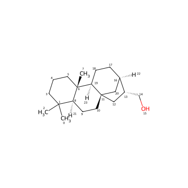 CC1(C)CCC[C@@]2(C)[C@H]1CC[C@@]13C[C@@H](CO)[C@H](CC[C@@H]12)C3